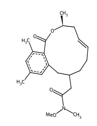 CON(C)C(=O)CC1CC/C=C/C[C@H](C)OC(=O)c2c(C)cc(C)cc2C1